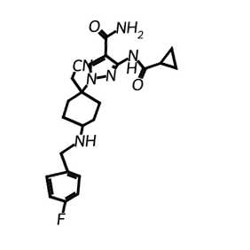 N#CCC1(n2cc(C(N)=O)c(NC(=O)C3CC3)n2)CCC(NCc2ccc(F)cc2)CC1